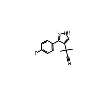 CC(C)(C#N)c1c[nH]nc1-c1ccc(F)cc1